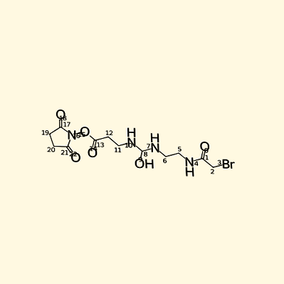 O=C(CBr)NCCNC(O)NCCC(=O)ON1C(=O)CCC1=O